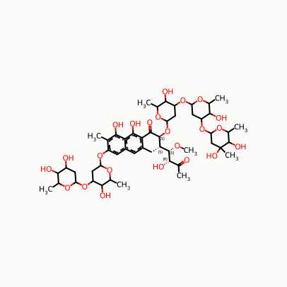 CO[C@@H]([C@@H]1Cc2cc3cc(OC4CC(OC5CC(O)C(O)C(C)O5)C(O)C(C)O4)c(C)c(O)c3c(O)c2C(=O)[C@H]1OC1CC(OC2CC(OC3CC(C)(O)C(O)C(C)O3)C(O)C(C)O2)C(O)C(C)O1)[C@@H](O)C(C)=O